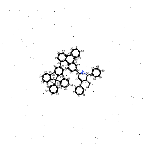 CCC1C(c2ccccc2)=CC(c2ccc3c(c2)c2ccccc2c2cccc(-c4ccc5c(c4)-c4ccccc4C5(c4ccccc4)c4ccccc4)c23)=NC1c1ccccc1